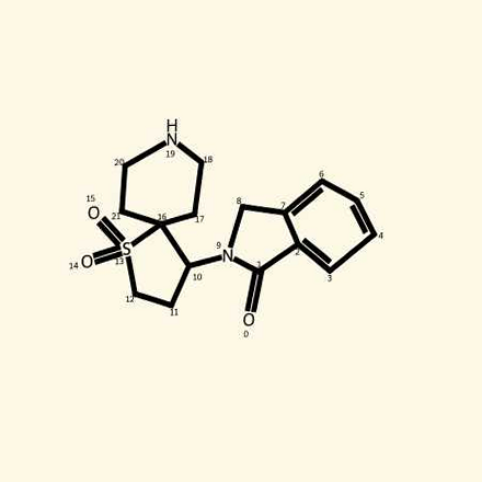 O=C1c2ccccc2CN1C1CCS(=O)(=O)C12CCNCC2